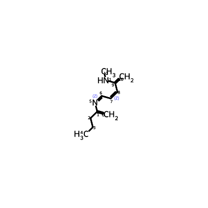 C=C(CCC)/N=C\C=C/C(=C)NC